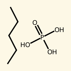 CCCCC.O=P(O)(O)O